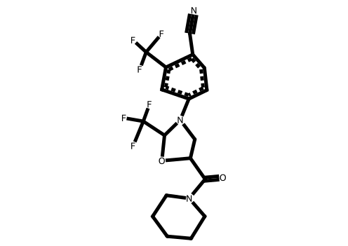 N#Cc1ccc(N2CC(C(=O)N3CCCCC3)OC2C(F)(F)F)cc1C(F)(F)F